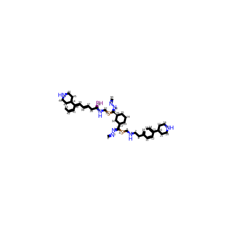 C=N/N=C(\SCNCCC(=C)/C=C\C(=C/C)C1CCNCC1)C1CCC[C@H](/C(=N/N=C)SCNC(=P)C/C=C/C=C(\C=C/C)C2CCNCC2)C1